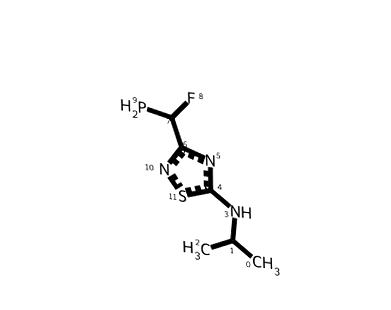 CC(C)Nc1nc(C(F)P)ns1